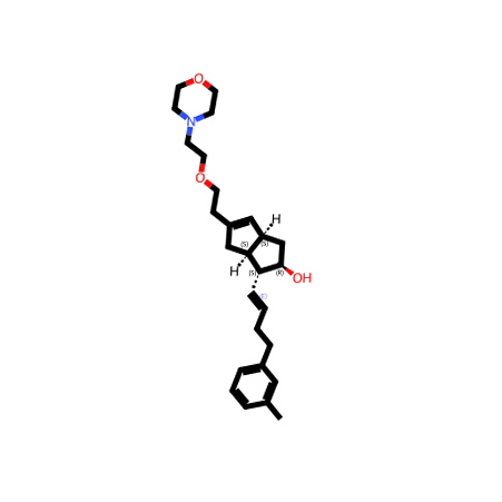 Cc1cccc(CC/C=C/[C@@H]2[C@H]3CC(CCOCCN4CCOCC4)=C[C@H]3C[C@H]2O)c1